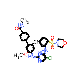 CNC(=O)c1ccc(-c2cc(OC)c(Nc3ncc(Cl)c(Nc4ccccc4S(=O)(=O)N4CCOCC4)n3)cc2C)cc1